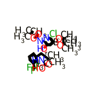 CC(C)(C)OC(=O)Nc1nc(Cl)c(B2OC(C)(C)C(C)(C)O2)cc1OC[C@@](Cc1cccc(C(F)(F)F)c1)(NC(=O)O)C(C)(C)C